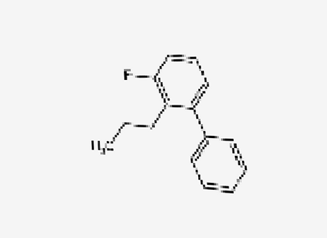 CCCc1c(F)cccc1-c1ccccc1